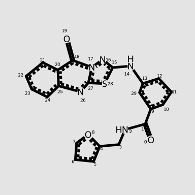 O=C(NCc1ccco1)c1cccc(Nc2nn3c(=O)c4ccccc4nc3s2)c1